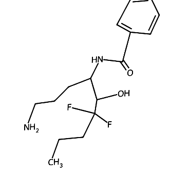 CCCC(F)(F)C(O)C(CCCN)NC(=O)c1ccccc1